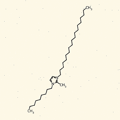 CCCCCCCCCCCCCCCCCCCn1cc[n+](CCCCCCCCC)c1C